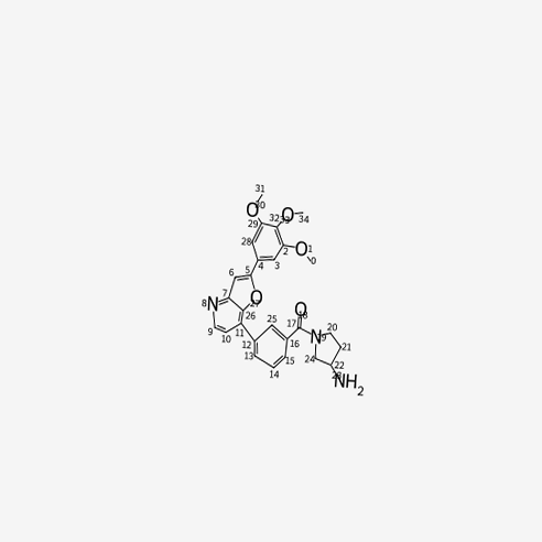 COc1cc(-c2cc3nccc(-c4cccc(C(=O)N5CCC(N)C5)c4)c3o2)cc(OC)c1OC